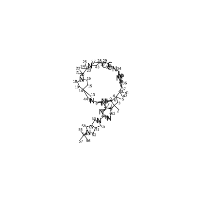 CC(C)(CC1(C)c2cnc(nc2)N2CC3(CCN(CC3)C(C)(C)C(C)(C)N3CC4(CCN(CC4)c4ncc(cn4)C1(C)C)C3)C2)c1cnc(N2CC3CN(C(C)(C)C)CC3C2)nc1